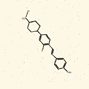 CCCc1ccc(/C=C/c2ccc(C3CCC([SiH2]CC)CC3)cc2F)cc1